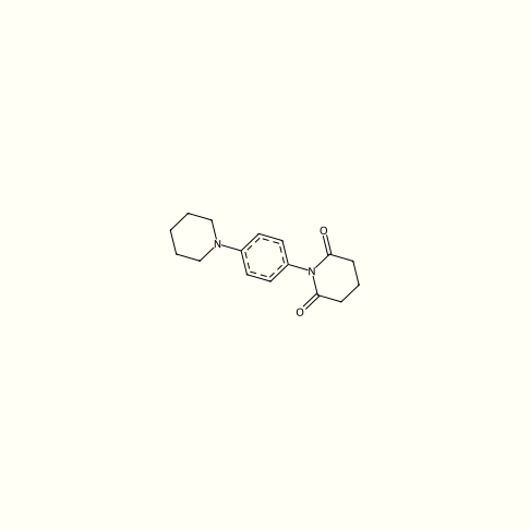 O=C1CCCC(=O)N1c1ccc(N2CCCCC2)cc1